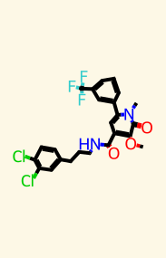 COc1c(C(=O)NCCCc2ccc(Cl)c(Cl)c2)cc(-c2cccc(C(F)(F)F)c2)n(C)c1=O